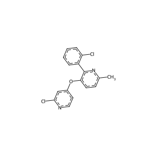 Cc1ccc(Oc2ccnc(Cl)c2)c(-c2ccccc2Cl)n1